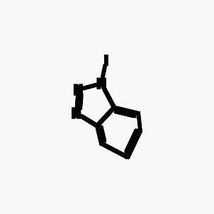 In1nnc2ccccc21